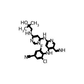 CC(C)(O)CNc1cc(Nc2cc(Nc3c(F)cc(C#N)cc3Cl)c(C=N)cn2)ncn1